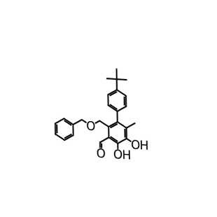 Cc1c(O)c(O)c(C=O)c(COCc2ccccc2)c1-c1ccc(C(C)(C)C)cc1